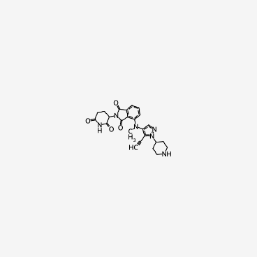 C#Cc1c(N(C)c2cccc3c2C(=O)N(C2CCC(=O)NC2=O)C3=O)cnn1C1CCNCC1